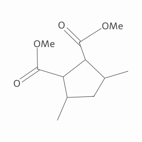 COC(=O)C1C(C)CC(C)C1C(=O)OC